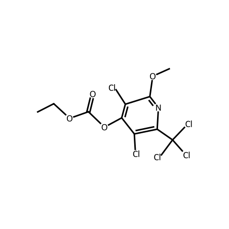 CCOC(=O)Oc1c(Cl)c(OC)nc(C(Cl)(Cl)Cl)c1Cl